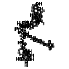 CC(C)[C@H](NC(=O)[C@@H](CCCCNC(=O)COC1CCCCC/C(N[C@@H]2O[C@H](CO)[C@H](O)[C@H](O)[C@H]2O)=C\1N=N)NC(=O)CCOCCOCCOCCOCCN1C(=O)C=CC1=O)C(=O)N[C@@H](C)C(=O)Nc1ccc2c(c1)[C@@]1(C)CCC[C@](C)(C(=O)NC(=O)[C@@]3(C)CCC[C@]4(C)c5cc(O)ccc5CC[C@@H]34)[C@@H]1CC2